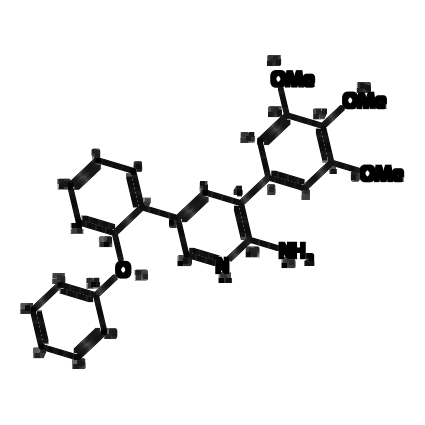 COc1cc(-c2cc(-c3ccccc3Oc3ccccc3)cnc2N)cc(OC)c1OC